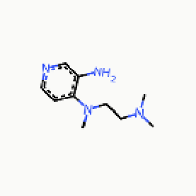 CN(C)CCN(C)c1ccncc1N